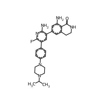 CC(C)N1CCN(c2ccc(-c3cc(-c4cc(N)c5c(c4)CCNC5=O)c(N)nc3F)cc2)CC1